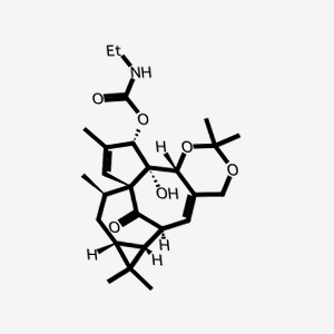 CCNC(=O)O[C@H]1C(C)=C[C@]23C(=O)[C@@H](C=C4COC(C)(C)O[C@H]4[C@]12O)[C@H]1[C@@H](C[C@H]3C)C1(C)C